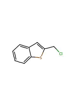 ClCc1cc2ccccc2s1